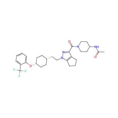 CC(=O)NC1CCN(C(=O)c2nn(CC[C@H]3CC[C@@H](Oc4ccccc4C(F)(F)F)CC3)c3c2CCC3)CC1